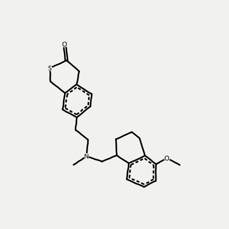 COc1cccc2c1CCCC2CN(C)CCc1ccc2c(c1)CSC(=O)C2